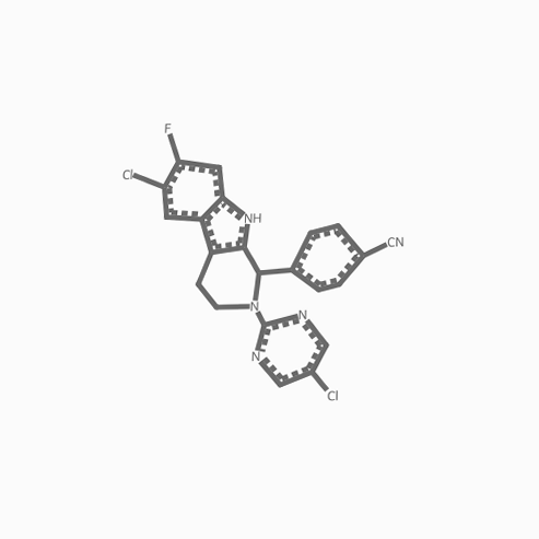 N#Cc1ccc(C2c3[nH]c4cc(F)c(Cl)cc4c3CCN2c2ncc(Cl)cn2)cc1